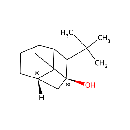 CC(C)(C)C1C2CC3C[C@H](C2)C[C@]1(O)C3